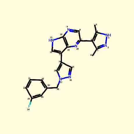 Cc1n[nH]c(C)c1-c1cnc2[nH]cc(-c3cnn(Cc4cccc(F)c4)c3)c2n1